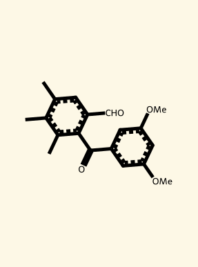 COc1cc(OC)cc(C(=O)c2c(C=O)cc(C)c(C)c2C)c1